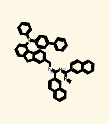 C=N/C(=N\C(=N/Cc1ccc2c(c1)Cc1cccc(N(c3ccccc3)c3ccc(-c4ccccc4)cc3)c1-2)c1ccc2ccccc2c1)c1ccc2ccccc2c1